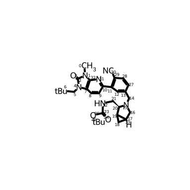 Cn1c(=O)n(CC(C)(C)C)c2ccc(-c3cc(CN4C[C@@H]5CC5[C@H]4CNC(=O)OC(C)(C)C)ccc3C#N)nc21